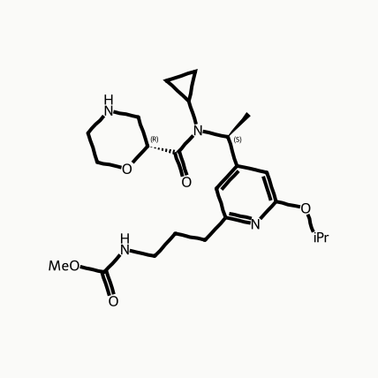 COC(=O)NCCCc1cc([C@H](C)N(C(=O)[C@H]2CNCCO2)C2CC2)cc(OC(C)C)n1